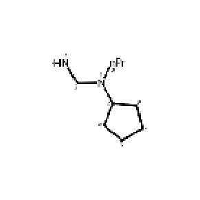 CCCN(C[NH])C1CCCC1